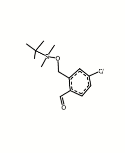 CC(C)(C)[Si](C)(C)OCc1cc(Cl)ccc1C=O